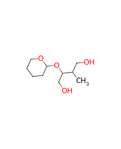 CC(CO)C(CO)OC1CCCCO1